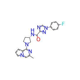 Cc1cn2cccc2c(N2CC[C@H](NC(=O)c3ncn(-c4ccc(F)cc4)n3)C2)n1